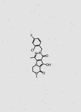 Cc1nn(Cc2ccc(F)cc2Cl)c(=O)c2c(O)c3n(c12)CCN(C)C3=O